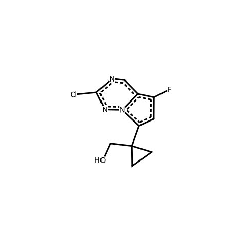 OCC1(c2cc(F)c3cnc(Cl)nn23)CC1